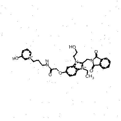 CC[n+]1c(CN2C(=O)c3ccccc3C2=O)n(CCO)c2cc(OCC(=O)NCCC[n+]3cccc(O)c3)ccc21